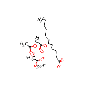 CC(=O)[O-].CC(=O)[O-].CC(=O)[O-].CCCCCCCCCCCC(=O)[O-].[Sn+4]